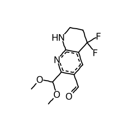 COC(OC)c1nc2c(cc1C=O)C(F)(F)CCN2